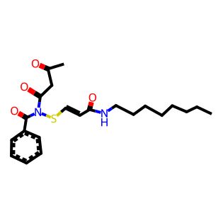 CCCCCCCCNC(=O)C=CSN(C(=O)CC(C)=O)C(=O)c1ccccc1